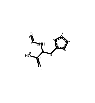 O=CNC(Cc1ccsc1)C(=O)O